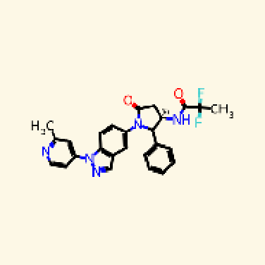 Cc1cc(-n2ncc3cc(N4C(=O)C[C@@H](NC(=O)C(C)(F)F)C4c4ccccc4)ccc32)ccn1